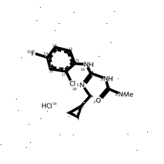 CNC(=O)NC(=NCC1CC1)Nc1ccc(F)cc1Cl.Cl